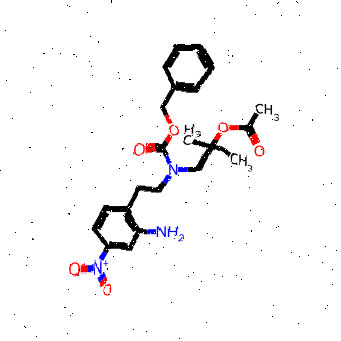 CC(=O)OC(C)(C)CN(CCc1ccc([N+](=O)[O-])cc1N)C(=O)OCc1ccccc1